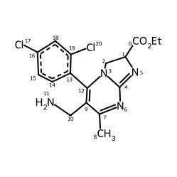 CCOC(=O)C1CN2C(=N1)N=C(C)C(CN)=C2c1ccc(Cl)cc1Cl